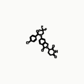 O=C1CCC(N2Cc3cc(N(CC(F)(F)F)C(=O)c4ccc(Cl)cc4)ccc3C2=O)C(=O)N1